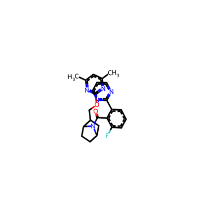 Cc1cc(C)nc(OCC2CC3CCC2N3C(=O)c2c(F)cccc2-c2ncccn2)n1